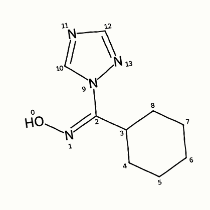 ON=C(C1CCCCC1)n1cncn1